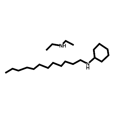 CCCCCCCCCCCCNC1CCCCC1.CCNCC